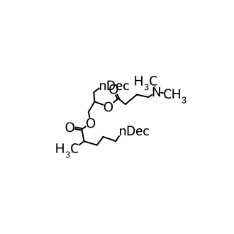 CCCCCCCCCCCCCC(C)C(=O)OCC(CCCCCCCCCCC)OC(=O)CCCN(C)C